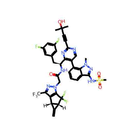 C=C1[C@@H]2c3c(C(F)(F)F)nn(CC(=O)N[C@@H](Cc4cc(F)cc(F)c4)c4nc(C#CC(C)(C)O)ncc4-c4cccc5c(NS(C)(=O)=O)nn(C)c45)c3C(F)(F)[C@H]12